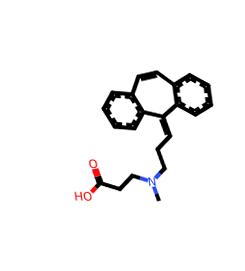 CN(CCC=C1c2ccccc2C=Cc2ccccc21)CCC(=O)O